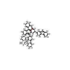 CC1(c2ccccc2)c2ccccc2-c2ccc(N(c3cccc(-c4ccc5c(c4)sc4ccccc45)c3)c3ccccc3-c3cccc4ccccc34)cc21